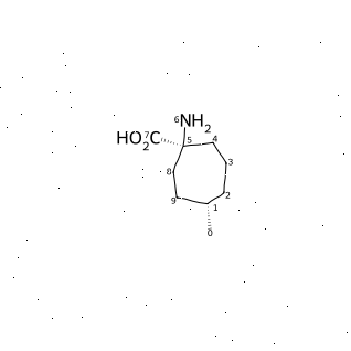 C[C@H]1CCC[C@@](N)(C(=O)O)CC1